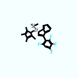 CC1=C(C)[CH]([Zr]([CH]2C=C(c3c(F)cc(F)c(F)c3F)c3ccccc32)=[Si](C)C)C(C)=C1C